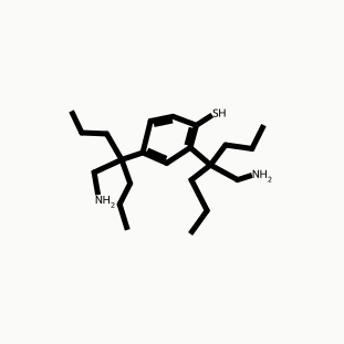 CCCC(CN)(CCC)c1ccc(S)c(C(CN)(CCC)CCC)c1